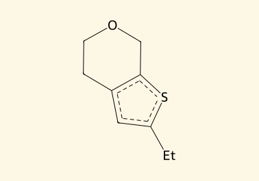 CCc1cc2c(s1)COCC2